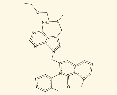 CCOCCN(C)Cc1nn(Cc2cc3cccc(C)c3c(=O)n2-c2ccccc2C)c2ncnc(N)c12